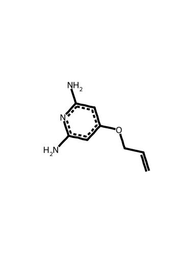 C=CCOc1cc(N)nc(N)c1